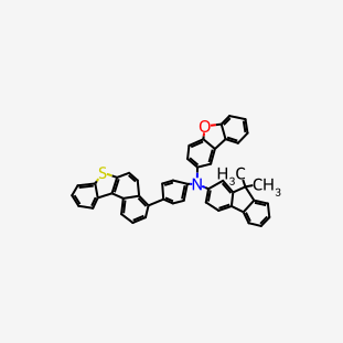 CC1(C)c2ccccc2-c2ccc(N(c3ccc(-c4cccc5c4ccc4sc6ccccc6c45)cc3)c3ccc4oc5ccccc5c4c3)cc21